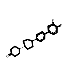 O=C1CCC([C@H]2CC[C@H](c3ccc(-c4ccc(F)c(F)c4)cc3)CC2)CC1